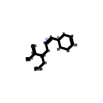 CCC(=O)N(C/C=C\C1CC=CCC1)CC(C)C